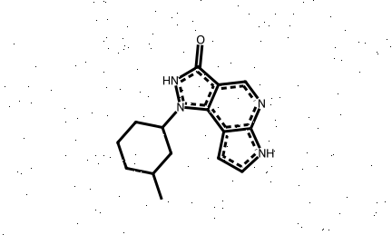 CC1CCCC(n2[nH]c(=O)c3cnc4[nH]ccc4c32)C1